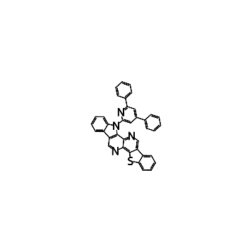 c1ccc(-c2cc(-c3ccccc3)nc(-n3c4ccccc4c4cnc5c(ncc6c7ccccc7sc65)c43)c2)cc1